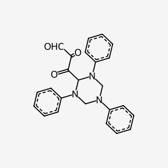 O=CC(=O)C(=O)C1N(c2ccccc2)CN(c2ccccc2)CN1c1ccccc1